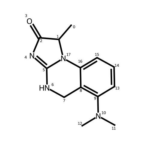 CC1C(=O)N=C2NCc3c(N(C)C)cccc3N21